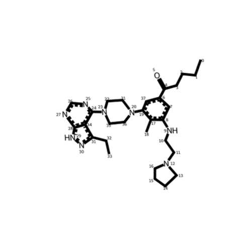 CCCCC(=O)c1cc(NCCN2CCCC2)c(C)c(N2CCN(c3ncnc4[nH]nc(CC)c34)CC2)c1